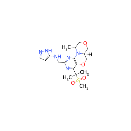 C[C@@H]1COC[C@H]2COc3c(nc(CNc4ccn[nH]4)nc3C(C)(C)S(C)(=O)=O)N21